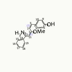 COC(/C=C\c1ccc(O)cc1)=C/C(N)c1ccccc1